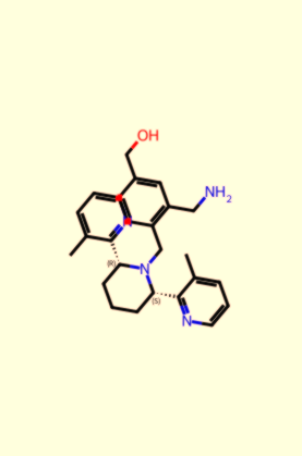 Cc1cccnc1[C@H]1CCC[C@@H](c2ncccc2C)N1Cc1ccc(CO)cc1CN